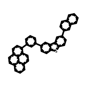 c1cc(-c2ccc3sc4ccc(-c5ccc6ccccc6c5)cc4c3c2)cc(-c2ccc3ccc4cccc5ccc2c3c45)c1